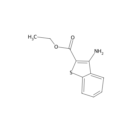 CCOC(=O)c1sc2ccccc2c1N